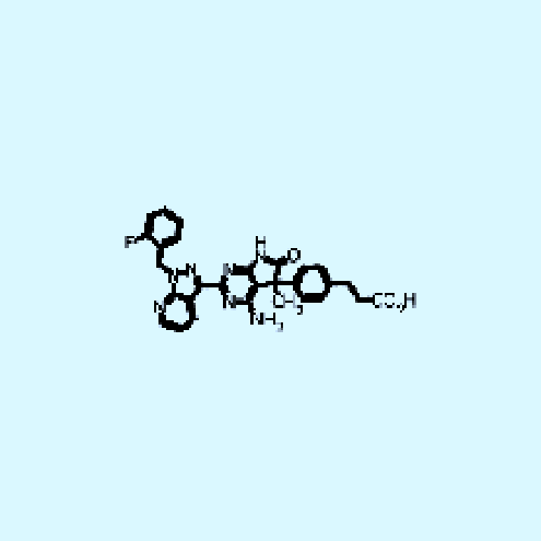 CC1(c2ccc(CCC(=O)O)cc2)C(=O)Nc2nc(-c3nn(Cc4ccccc4F)c4ncccc34)nc(N)c21